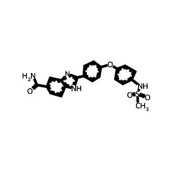 CS(=O)(=O)Nc1ccc(Oc2ccc(-c3nc4cc(C(N)=O)ccc4[nH]3)cc2)cc1